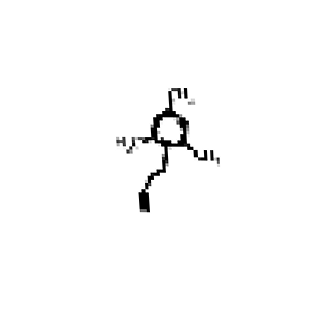 [C]#CCCc1c(C)cc(C)cc1C